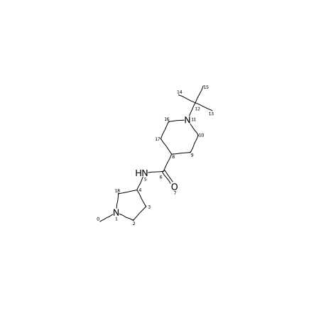 CN1CCC(NC(=O)C2CCN(C(C)(C)C)CC2)C1